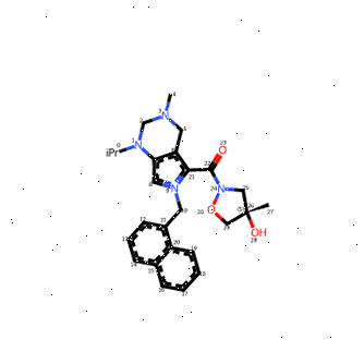 CC(C)N1CN(C)Cc2c1cn(Cc1cccc3ccccc13)c2C(=O)N1C[C@](C)(O)CO1